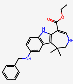 CCOC(=O)C1=CNCC(C)(C)c2c1[nH]c1ccc(NCc3ccccc3)cc21